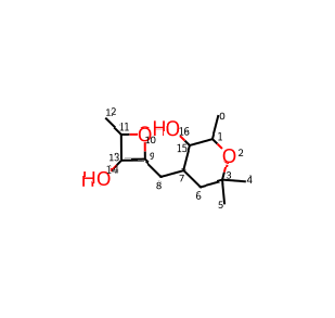 CC1OC(C)(C)CC(CC2OC(C)C2O)C1O